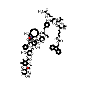 CCN(C(=O)OCc1ccc(NC(=O)[C@H](CCCNC(N)=O)NC(=O)[C@@H](NC(=O)[C@H](CCCCNC(=O)OCC2c3ccccc3-c3ccccc32)NC(C)=O)C(C)C)cc1)[C@H]1CO[C@@H](O[C@H]2[C@H](O[C@H]3C#CC=CC#C[C@]4(O)CC(=O)C(NC(=O)OC)=C3/C4=C\CSSc3ccccc3)O[C@H](C)[C@@H](NO[C@H]3C[C@H](O)[C@H](SC(=O)c4c(C)c(I)c(O[C@@H]5O[C@@H](C)[C@H](O)[C@@H](OC)[C@H]5O)c(OC)c4OC)[C@@H](C)O3)[C@@H]2O)C[C@@H]1OC